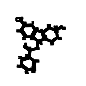 C=C(Cn1c2c(c3cc(Cl)ccc31)CN(C)CC2)c1cccnc1